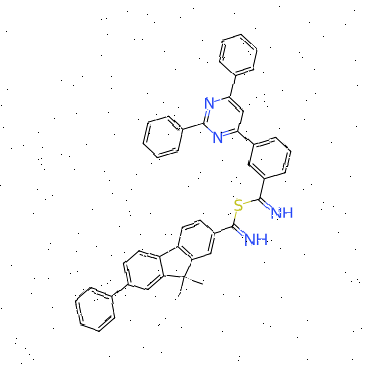 CC1(C)c2cc(C(=N)SC(=N)c3cccc(-c4cc(-c5ccccc5)nc(-c5ccccc5)n4)c3)ccc2-c2ccc(-c3ccccc3)cc21